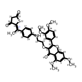 COc1cc(OC)c2c(=O)c(OCCNc3ccc(/C(C)=C4\SC(=O)CC4=O)cc3)c(-c3ccc(OC)c(OC)c3)oc2c1